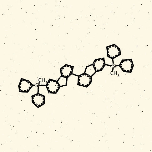 C[Si](c1ccccc1)(c1ccccc1)c1ccc2c(c1)-c1cccc(-c3cccc4c3Cc3ccc([Si](C)(c5ccccc5)c5ccccc5)cc3-4)c1C2